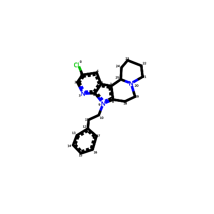 Clc1cnc2c(c1)c1c(n2CCc2ccccc2)CCN2CCCCC12